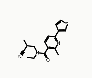 CCN(CC(C)C#N)C(=O)c1ccc(-c2ccsc2)nc1C